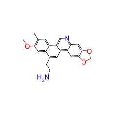 COc1cc2c(CCN)cc3c4cc5c(cc4ncc3c2cc1C)OCO5